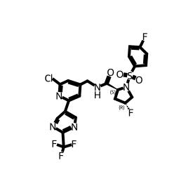 O=C(NCc1cc(Cl)nc(-c2cnc(C(F)(F)F)nc2)c1)[C@@H]1C[C@@H](F)CN1S(=O)(=O)c1ccc(F)cc1